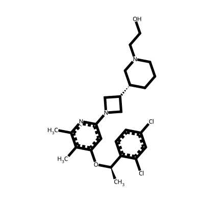 Cc1nc(N2CC([C@H]3CCCN(CCO)C3)C2)cc(O[C@H](C)c2ccc(Cl)cc2Cl)c1C